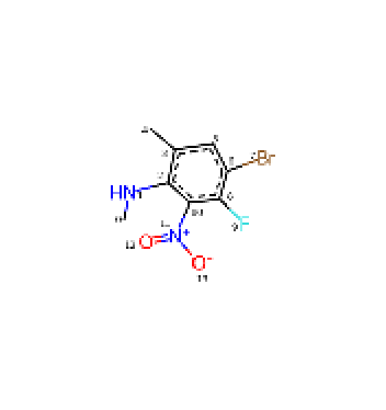 CNc1c(C)cc(Br)c(F)c1[N+](=O)[O-]